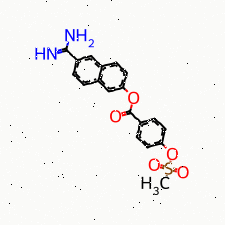 CS(=O)(=O)Oc1ccc(C(=O)Oc2ccc3cc(C(=N)N)ccc3c2)cc1